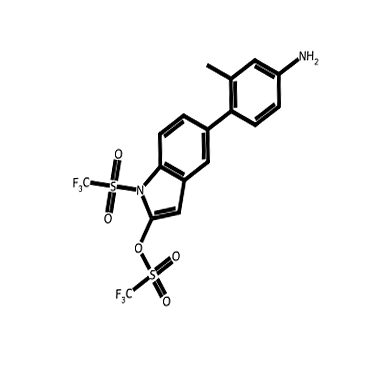 Cc1cc(N)ccc1-c1ccc2c(c1)cc(OS(=O)(=O)C(F)(F)F)n2S(=O)(=O)C(F)(F)F